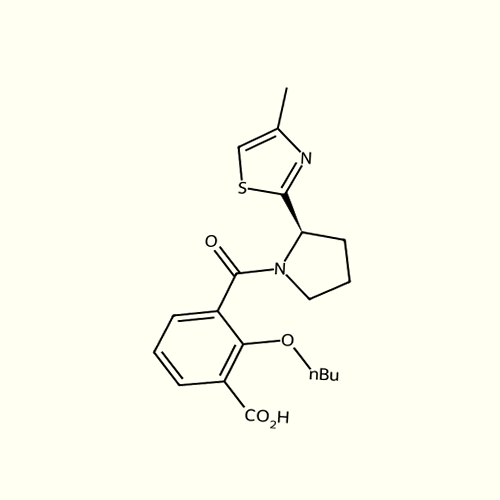 CCCCOc1c(C(=O)O)cccc1C(=O)N1CCC[C@@H]1c1nc(C)cs1